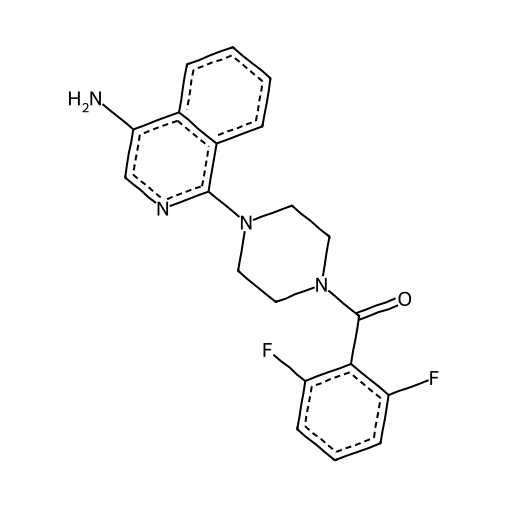 Nc1cnc(N2CCN(C(=O)c3c(F)cccc3F)CC2)c2ccccc12